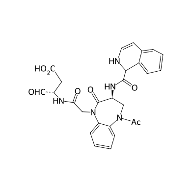 CC(=O)N1C[C@H](NC(=O)C2NC=Cc3ccccc32)C(=O)N(CC(=O)N[C@H](C=O)CC(=O)O)c2ccccc21